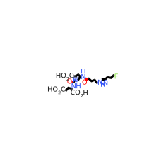 O=C(O)CCC(NC(=O)N1CC(NC(=O)CCCCn2cc(CCCF)nn2)C[C@H]1C(=O)O)C(=O)O